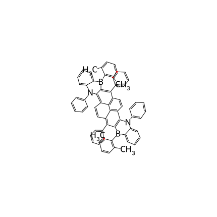 Cc1cccc(C)c1B1c2ccccc2N(c2ccccc2)c2c1c(-c1ccccc1)c1ccc3c4c(c(-c5ccccc5)c5ccc2c1c53)B(c1c(C)cccc1C)c1ccccc1N4c1ccccc1